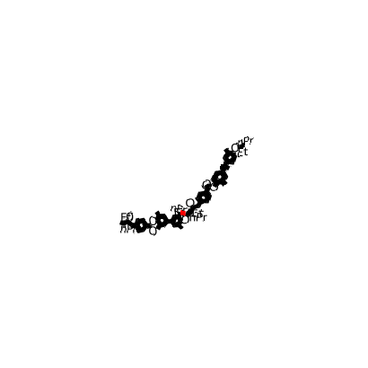 CCCC(C)(CC)Oc1ccc(C(C)(C)c2ccc(OC(=O)c3ccc(CC(=O)C(CC)(CCC)C(CC)(CCC)Oc4c(C)cc(-c5cc(C)c(OC(=O)c6ccc(CC(=O)C(C)(CC)CCC)cc6)c(C)c5)cc4C)cc3)c(C)c2)cc1C